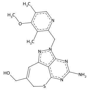 COc1c(C)cnc(Cn2nc3c4c(nc(N)nc42)SCC(CO)=C3)c1C